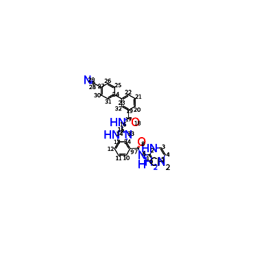 C=C(N/C=C\N)NC(=O)c1cccc2[nH]c(NC(=O)c3cccc(-c4ccc(C#N)cc4)c3)nc12